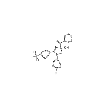 CS(=O)(=O)c1ccc(C2=NC(O)(C(=O)c3ccccc3)CN2c2ccc(Cl)cc2)cc1